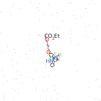 CCOC(=O)COCC/C=C/CCOc1cc(F)c([C@@H]2c3[nH]c4ccccc4c3C[C@@H](C)N2CC(C)(C)F)c(F)c1